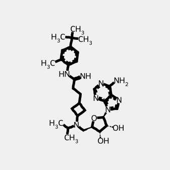 Cc1cc(C(C)(C)C)ccc1NC(=N)CCC1CC(N(C[C@H]2O[C@@H](n3cnc4c(N)ncnc43)[C@H](O)[C@@H]2O)C(C)C)C1